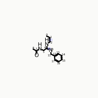 C/C=C\N/C(CNC(C)=O)=N/Cc1ccccc1